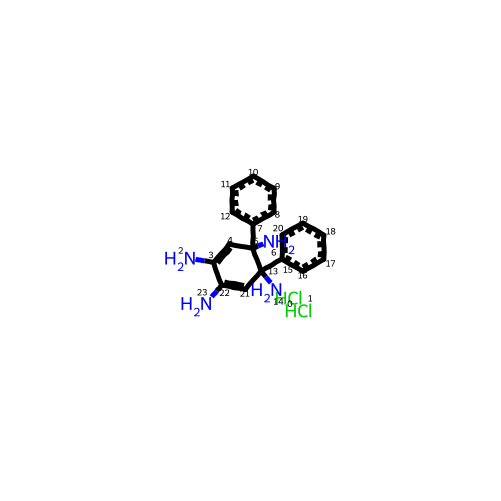 Cl.Cl.NC1=CC(N)(c2ccccc2)C(N)(c2ccccc2)C=C1N